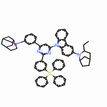 CCC1CC2CCC(C2)N1c1ccc2c(c1)c1ccccc1n2-c1cc(-c2cccc(N3C4CC5CC(C4)CC3C5)c2)nc(-c2cccc(S(c3ccccc3)(c3ccccc3)c3ccccc3)c2)n1